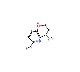 CC(C)c1ccc2c(n1)C(C(C)C)CCO2